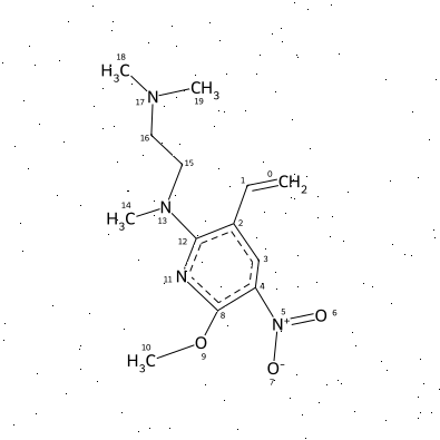 C=Cc1cc([N+](=O)[O-])c(OC)nc1N(C)CCN(C)C